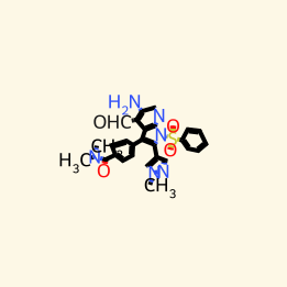 CN(C)C(=O)c1ccc(-c2c(-c3cnn(C)c3)n(S(=O)(=O)c3ccccc3)c3ncc(N)c(C=O)c23)cc1